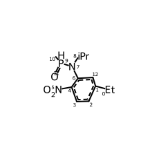 CCc1ccc([N+](=O)[O-])c(N(C(C)C)[PH](C)=O)c1